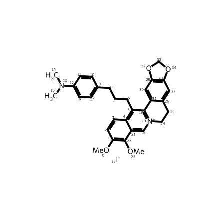 COc1ccc2c(CCCc3ccc(N(C)C)cc3)c3[n+](cc2c1OC)CCc1cc2c(cc1-3)OCO2.[I-]